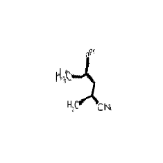 CCCC(C)CC(C)C#N